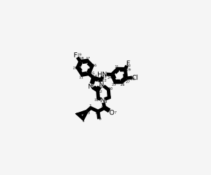 CC(CC1CC1)C(=O)N1CCn2c(nc(-c3ccc(F)cc3)c2Nc2ccc(Cl)c(F)c2)C1